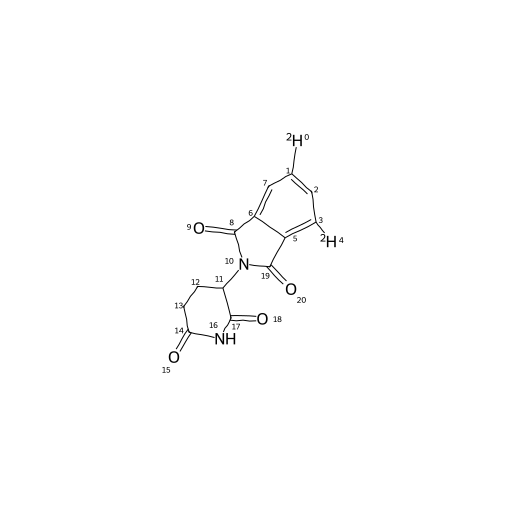 [2H]c1cc([2H])c2c(c1)C(=O)N(C1CCC(=O)NC1=O)C2=O